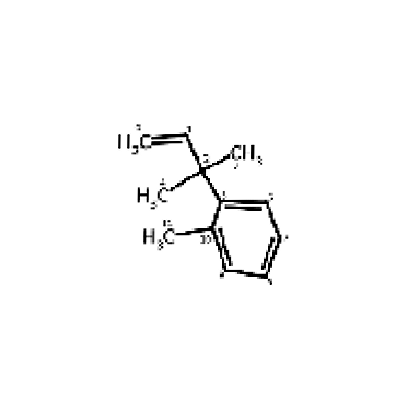 C=CC(C)(C)c1ccccc1C